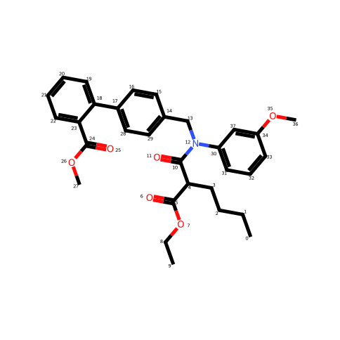 CCCCC(C(=O)OCC)C(=O)N(Cc1ccc(-c2ccccc2C(=O)OC)cc1)c1cccc(OC)c1